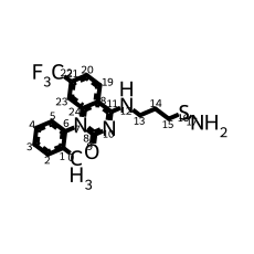 Cc1ccccc1-n1c(=O)nc(NCCCSN)c2ccc(C(F)(F)F)cc21